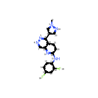 Cn1cc(-c2nncc3nc(Nc4ccc(F)cc4F)ccc23)cn1